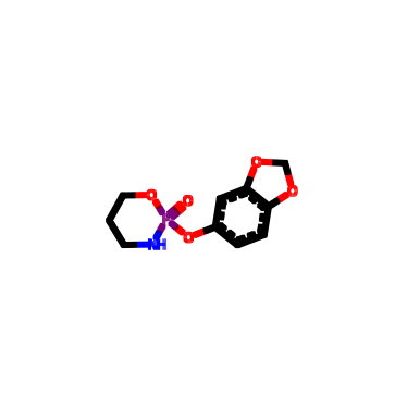 O=P1(Oc2ccc3c(c2)OCO3)NCCCO1